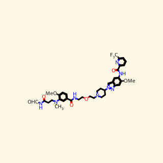 COc1cc2nn(C3CCN(CCOCCNC(=O)c4ccc(OC)c(N(C)CCC(=O)NC=O)c4)CC3)cc2cc1NC(=O)c1cccc(C(F)(F)F)n1